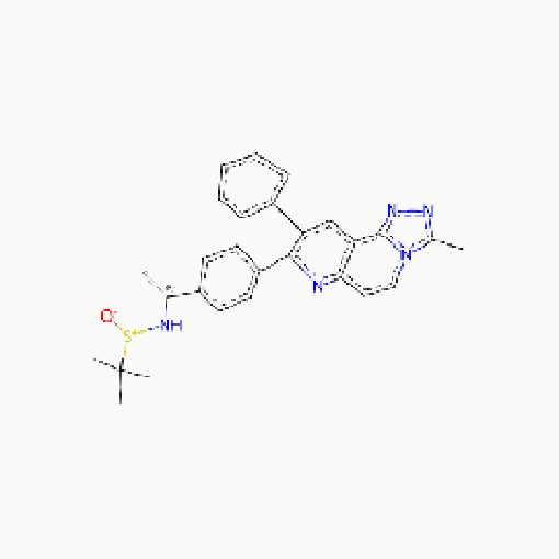 Cc1nnc2c3cc(-c4ccccc4)c(-c4ccc([C@@H](C)N[S+]([O-])C(C)(C)C)cc4)nc3ccn12